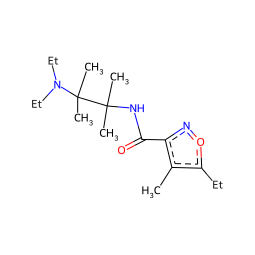 CCc1onc(C(=O)NC(C)(C)C(C)(C)N(CC)CC)c1C